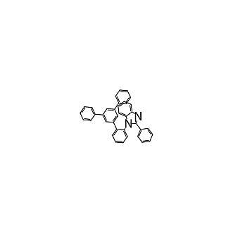 c1ccc(-c2cc(-c3ccccc3)cc(-c3ccccc3-n3c(-c4ccccc4)nc4ccccc43)c2)cc1